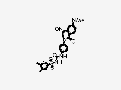 CNc1ccc2c(=O)n(-c3ccc(NC(=O)NS(=O)(=O)c4cc(C)c(C)s4)cc3)cc(N=O)c2c1